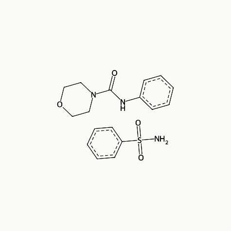 NS(=O)(=O)c1ccccc1.O=C(Nc1ccccc1)N1CCOCC1